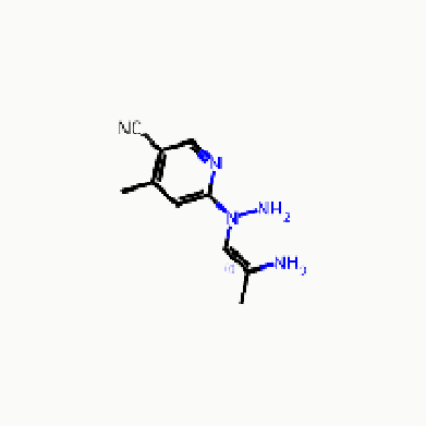 C/C(N)=C/N(N)c1cc(C)c(C#N)cn1